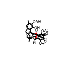 COc1c(C)cc2c(c1O)C1C3[C@@H]4SCC(=O)C(=O)OC[C@@H](c5c6c(c(C)c(OC(C)=O)c54)OCO6)N3C3(C)CC2N1C3